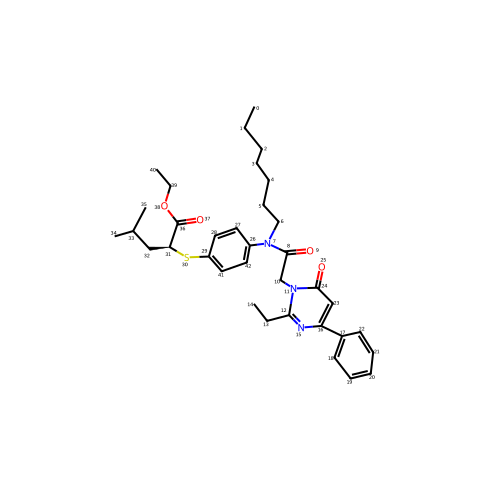 CCCCCCCN(C(=O)Cn1c(CC)nc(-c2ccccc2)cc1=O)c1ccc(S[C@@H](CC(C)C)C(=O)OCC)cc1